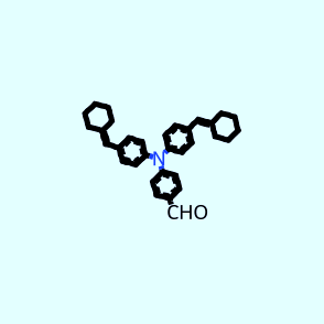 O=Cc1ccc(N(c2ccc(C=C3CCCCC3)cc2)c2ccc(C=C3CCCCC3)cc2)cc1